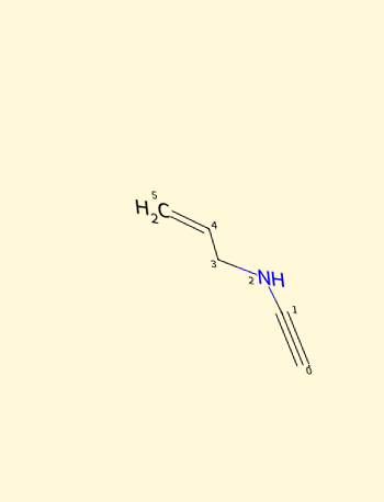 [C]#CNCC=C